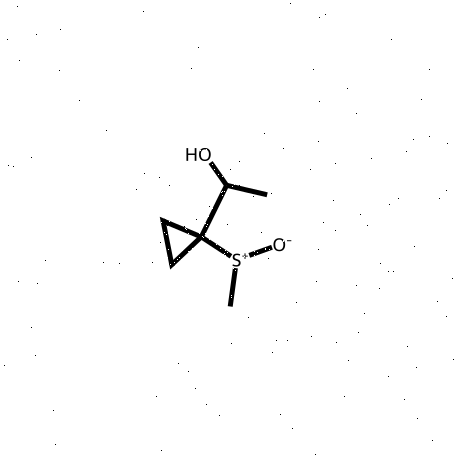 CC(O)C1([S+](C)[O-])CC1